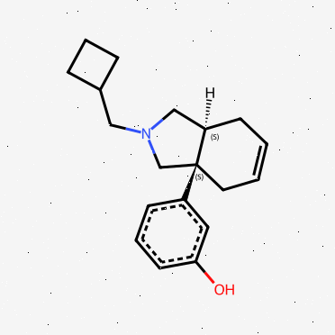 Oc1cccc([C@]23CC=CC[C@@H]2CN(CC2CCC2)C3)c1